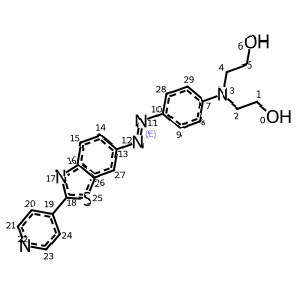 OCCN(CCO)c1ccc(/N=N/c2ccc3nc(-c4ccncc4)sc3c2)cc1